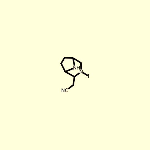 N#CCC1C2CCC(CN1I)N2